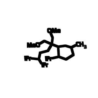 COCC(CCC(C(C)C)C(C)C)(COC)C1CC(C)CCC1C(C)C